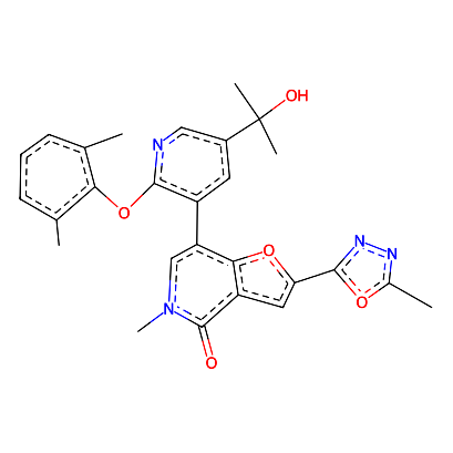 Cc1nnc(-c2cc3c(=O)n(C)cc(-c4cc(C(C)(C)O)cnc4Oc4c(C)cccc4C)c3o2)o1